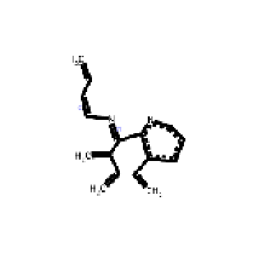 C=C/C=C\N=C(/C(=C)C=C)c1ncccc1C=C